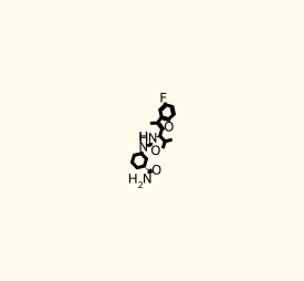 Cc1c([C@@H](NC(=O)NC2CCC[C@@H](C(N)=O)C2)C(C)C)oc2ccc(F)cc12